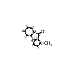 Cc1ccn2c1C(=O)c1ccccc1-2